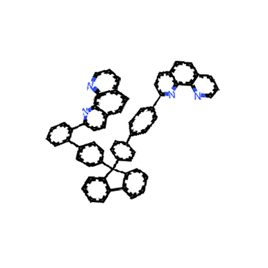 c1ccc(-c2ccc3ccc4cccnc4c3n2)c(-c2ccc(C3(c4ccc(-c5ccc(-c6ccc7ccc8cccnc8c7n6)cc5)cc4)c4ccccc4-c4ccccc43)cc2)c1